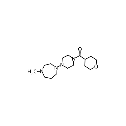 CN1CCCN(N2CCN(C(=O)C3CCOCC3)CC2)CC1